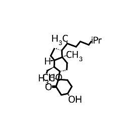 CC(C)CCC[C@@H](C)[C@H]1CC[C@H]2[C@H](CC=O)[C@@H]([C@@]3(C)CC[C@H](O)CC3=O)CC[C@]12C